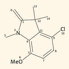 C=C1N(C)c2c(OC)ccc(Cl)c2C1(C)C